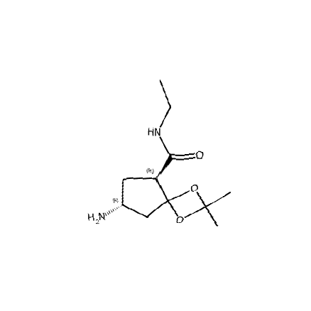 CCNC(=O)[C@@H]1C[C@@H](N)CC12OC(C)(C)O2